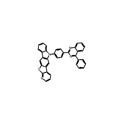 c1ccc(-c2nc(-c3ccc(-n4c5ccccc5c5cc6sc7ncccc7c6cc54)cc3)nc3ccccc23)cc1